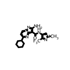 Cn1cc(NC(=O)c2c(N)nn3ccc(C4CCCCC4)nc23)c(C(F)(F)F)n1